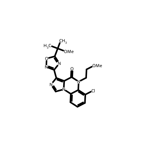 COCCn1c(=O)c2c(-c3noc(C(C)(C)OC)n3)ncn2c2cccc(Cl)c21